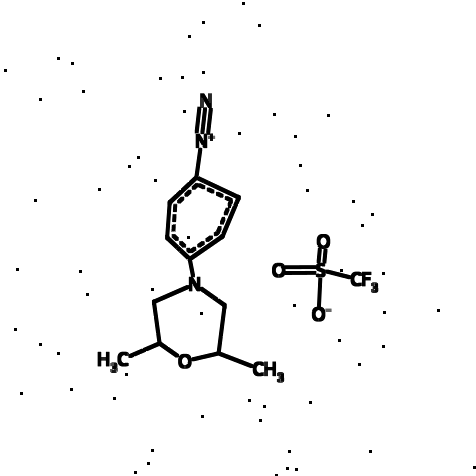 CC1CN(c2ccc([N+]#N)cc2)CC(C)O1.O=S(=O)([O-])C(F)(F)F